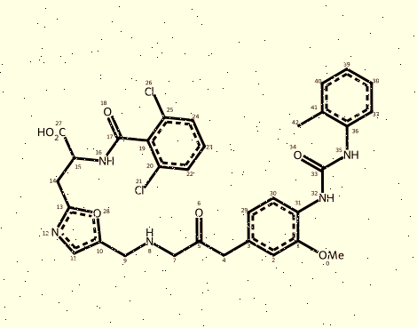 COc1cc(CC(=O)CNCc2cnc(CC(NC(=O)c3c(Cl)cccc3Cl)C(=O)O)o2)ccc1NC(=O)Nc1ccccc1C